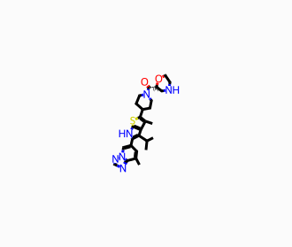 Cc1c(C2CCN(C(=O)[C@H]3CNCCO3)CC2)sc2[nH]c(-c3cc(C)c4ncnn4c3)c(C(C)C)c12